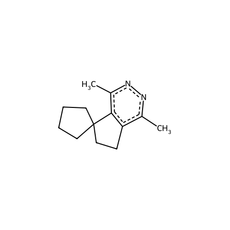 Cc1nnc(C)c2c1CCC21CCCC1